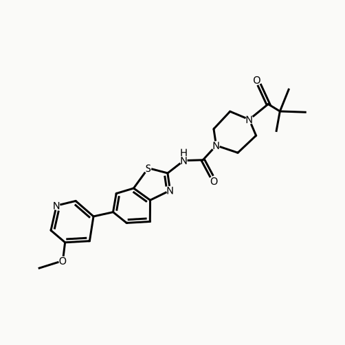 COc1cncc(-c2ccc3nc(NC(=O)N4CCN(C(=O)C(C)(C)C)CC4)sc3c2)c1